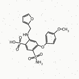 COc1ccc(Oc2cc(NCc3ccco3)c(S(=O)(=O)O)cc2S(N)(=O)=O)cc1